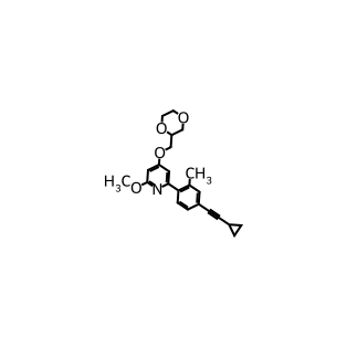 COc1cc(OCC2COCCO2)cc(-c2ccc(C#CC3CC3)cc2C)n1